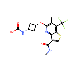 CNC(=O)c1csc2c(C(F)(F)F)c(C)c(O[C@H]3C[C@@H](NC(=O)O)C3)nc12